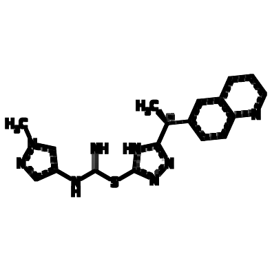 C[C@@H](c1ccc2ncccc2c1)c1nnc(SC(=N)Nc2cnn(C)c2)[nH]1